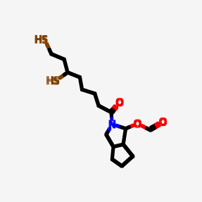 O=COC1C2CCCC2CN1C(=O)CCCCC(S)CCS